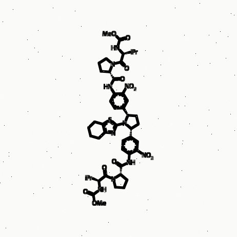 COC(=O)N[C@H](C(=O)N1CCC[C@H]1C(=O)Nc1ccc([C@H]2CC[C@H](c3ccc(NC(=O)[C@@H]4CCCN4C(=O)[C@@H](NC(=O)OC)C(C)C)c([N+](=O)[O-])c3)N2c2nc3c(s2)CCCC3)cc1[N+](=O)[O-])C(C)C